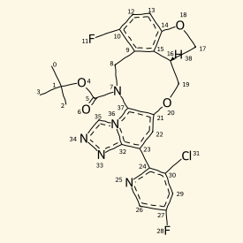 CC(C)(C)OC(=O)N1Cc2c(F)ccc3c2[C@H](CO3)COc2cc(-c3ncc(F)cc3Cl)c3nncn3c21